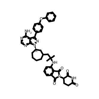 CC(C)(CC1CCCC[C@@H](n2nc(-c3ccc(Oc4ccccc4)cc3)c3c(N)ncnc32)C1)Nc1cccc2c1C(=O)N(C1CCC(=O)NC1=O)C2=O